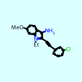 CCn1c(C#Cc2cccc(Cl)c2)c(N)c2ccc(OC)cc21